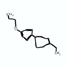 CCCOc1ccc(C2CCC(CC)CC2)cc1